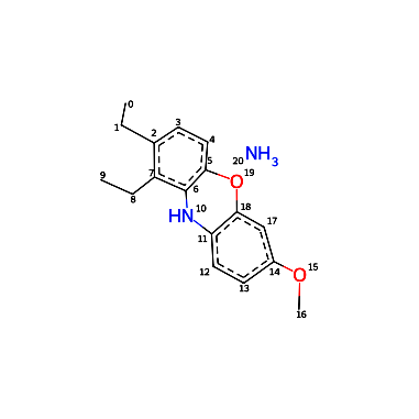 CCc1ccc2c(c1CC)Nc1ccc(OC)cc1O2.N